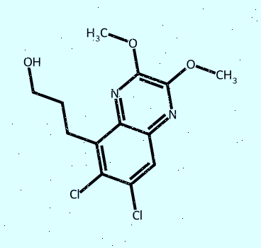 COc1nc2cc(Cl)c(Cl)c(CCCO)c2nc1OC